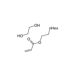 C=CC(=O)OCCCCCCCC.OCCO